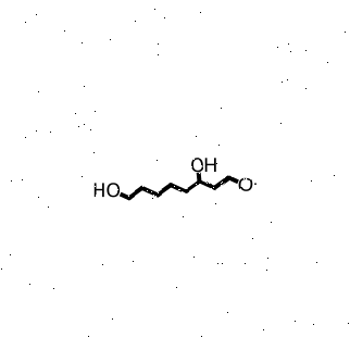 [O]CCC(O)CCCCCO